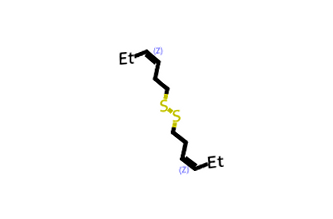 CC/C=C\CCSSCC/C=C\CC